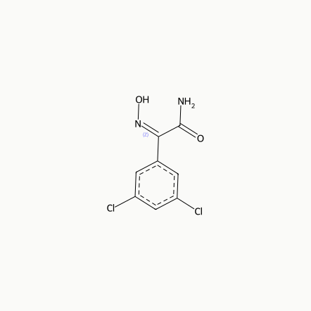 NC(=O)/C(=N\O)c1cc(Cl)cc(Cl)c1